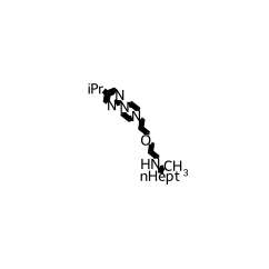 CCCCCCCC(C)NCCCOCCCN1CCN(c2ncc(C(C)C)cn2)CC1